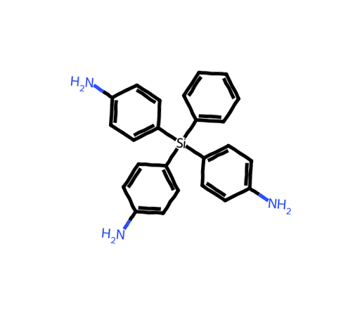 Nc1ccc([Si](c2ccccc2)(c2ccc(N)cc2)c2ccc(N)cc2)cc1